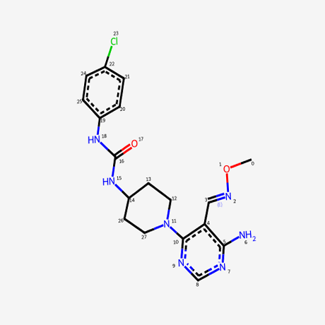 CO/N=C/c1c(N)ncnc1N1CCC(NC(=O)Nc2ccc(Cl)cc2)CC1